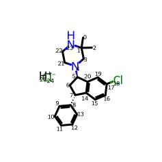 CC1(C)CN([C@@H]2C[C@@H](c3ccccc3)c3ccc(Cl)cc32)CCN1.[Cl-].[H+]